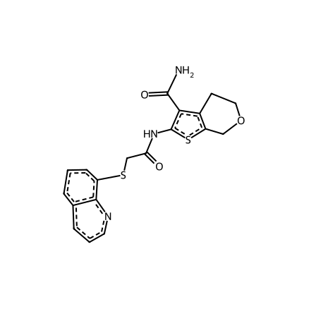 NC(=O)c1c(NC(=O)CSc2cccc3cccnc23)sc2c1CCOC2